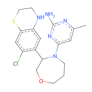 Cc1cc(N2CCCOCC2c2cc3c(cc2Cl)SCCN3)nc(N)n1